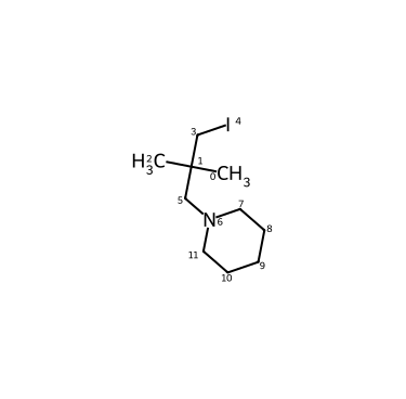 CC(C)(CI)CN1CCCCC1